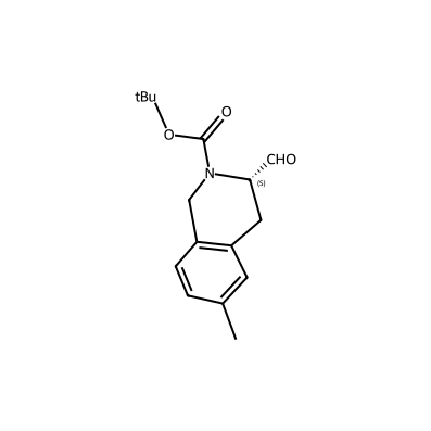 Cc1ccc2c(c1)C[C@@H](C=O)N(C(=O)OC(C)(C)C)C2